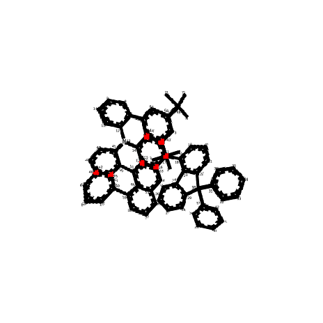 CC(C)(C)c1cc(-c2ccccc2N(c2ccc(-c3cccc4c3-c3ccccc3C4(c3ccccc3)c3ccccc3)cc2)c2ccccc2-c2cccc3cccc(-c4ccccc4)c23)cc(C(C)(C)C)c1